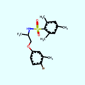 Cc1cc(C)c(S(=O)(=O)NC(COc2ccc(Br)c(C)c2)C(F)(F)F)c(C)c1